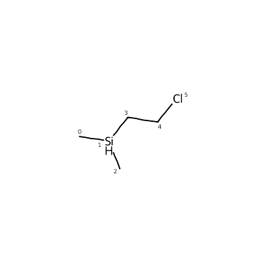 C[SiH](C)CCCl